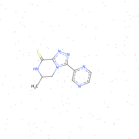 CC1Cn2c(nnc2-c2cnccn2)C(=S)N1